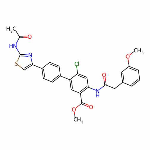 COC(=O)c1cc(-c2ccc(-c3csc(NC(C)=O)n3)cc2)c(Cl)cc1NC(=O)Cc1cccc(OC)c1